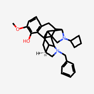 COc1ccc2c(c1O)C13C4CN(C5CCC5)C(C4C2)C12CCC1C3[C@@H](CN1Cc1ccccc1)C2